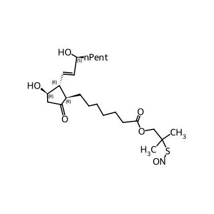 CCCCC[C@H](O)C=C[C@H]1[C@H](O)CC(=O)[C@@H]1CCCCCCC(=O)OCC(C)(C)SN=O